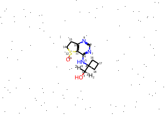 [2H]C([2H])(O)C1(Nc2ncnc3c2[S+]([O-])CC3)CCC1